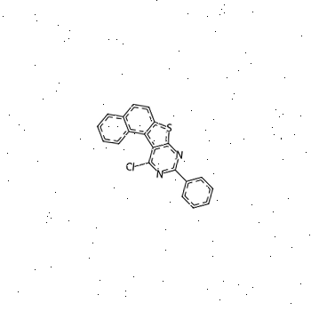 Clc1nc(-c2ccccc2)nc2sc3ccc4ccccc4c3c12